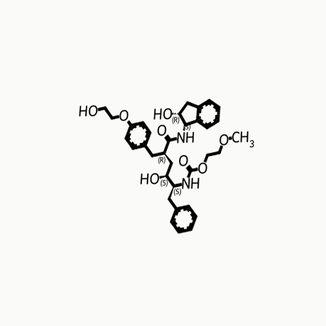 COCCOC(=O)N[C@@H](Cc1ccccc1)[C@@H](O)C[C@@H](Cc1ccc(OCCO)cc1)C(=O)N[C@H]1c2ccccc2C[C@H]1O